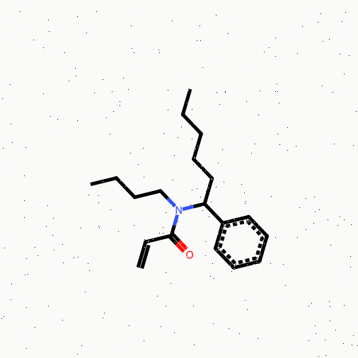 C=CC(=O)N(CCCC)C(CCCCC)c1ccccc1